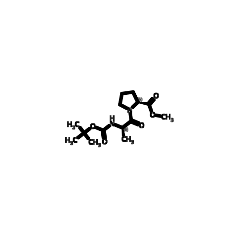 COC(=O)[C@@H]1CCCN1C(=O)[C@@H](C)NC(=O)OC(C)(C)C